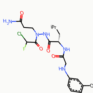 COc1cccc(NCC(=O)N[C@@H](CC(C)C)C(=O)NN(CCC(N)=O)C(=O)C(F)Cl)c1